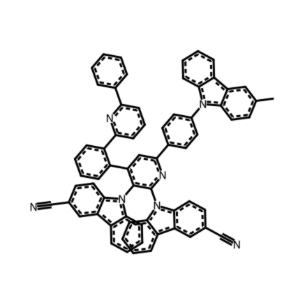 Cc1ccc2c(c1)c1ccccc1n2-c1ccc(-c2cc(-c3ccccc3-c3cccc(-c4ccccc4)n3)c(-n3c4ccccc4c4cc(C#N)ccc43)c(-n3c4ccccc4c4cc(C#N)ccc43)n2)cc1